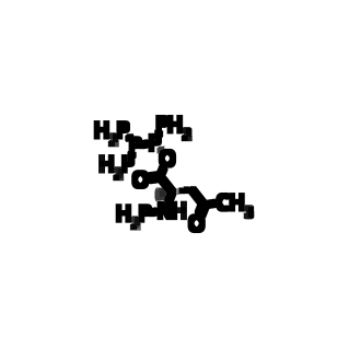 CC(=O)C[C@H](NP)C(=O)OP(P)P(P)P